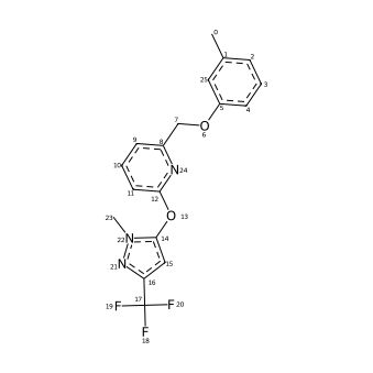 Cc1cccc(OCc2cccc(Oc3cc(C(F)(F)F)nn3C)n2)c1